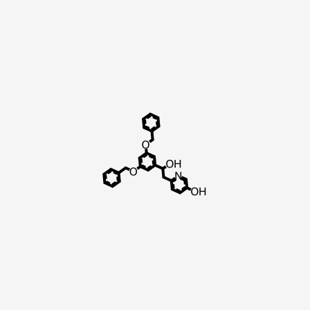 Oc1ccc(CC(O)c2cc(OCc3ccccc3)cc(OCc3ccccc3)c2)nc1